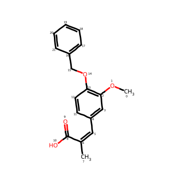 COc1cc(C=C(C)C(=O)O)ccc1OCc1ccccc1